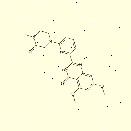 COc1cc(OC)c2c(=O)[nH]c(-c3cccc(N4CCN(C)C(=O)C4)n3)nc2c1